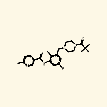 Cc1ccc(C(=O)Nc2cc(F)cc(CN3CCN(C(=O)C(C)(C)C)CC3)c2C)cn1